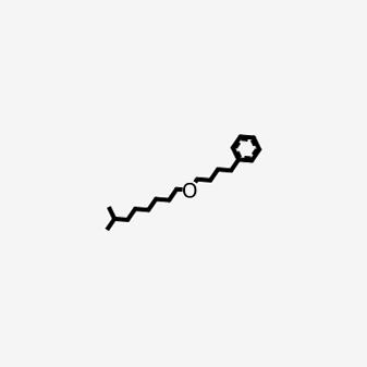 CC(C)CCCCCCOCCCCc1ccccc1